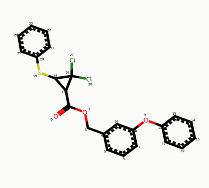 O=C(OCc1cccc(Oc2ccccc2)c1)C1C(Sc2ccccc2)C1(Cl)Cl